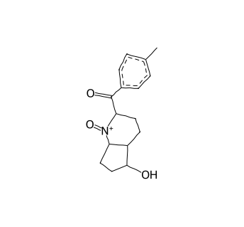 Cc1ccc(C(=O)C2CCC3C(O)CCC3[N+]2=O)cc1